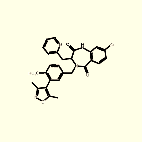 Cc1noc(C)c1-c1cc(CN2C(=O)c3ccc(Cl)cc3NC(=O)C2Cc2ccccn2)ccc1C(=O)O